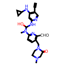 C#Cc1cnc(NC(O)N(C)c2ccc(CN3CCN(C)CC3=O)c(C=O)n2)cc1NC1CC1